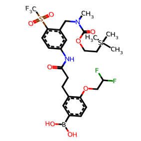 CN(Cc1cc(NC(=O)CCc2cc(B(O)O)ccc2OCC(F)F)ccc1S(=O)(=O)C(F)(F)F)C(=O)OCC[Si](C)(C)C